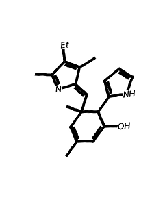 CCC1=C(C)/C(=C/C2(C)C=C(C)C=C(O)C2c2ccc[nH]2)N=C1C